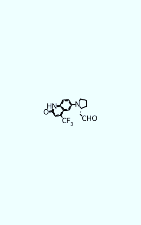 O=CC[C@H]1CCCN1c1ccc2[nH]c(=O)cc(C(F)(F)F)c2c1